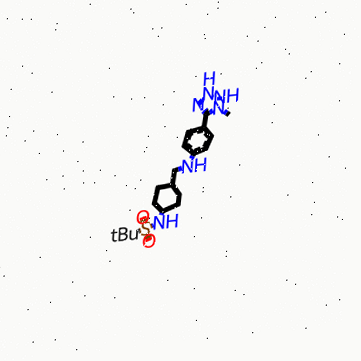 CN1NNN=C1c1ccc(NCC2CCC(NS(=O)(=O)C(C)(C)C)CC2)cc1